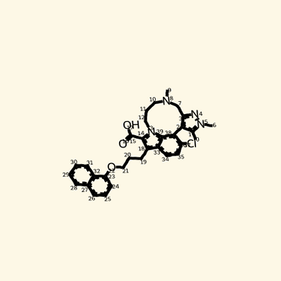 Cc1c2c(nn1C)CN(C)CCCn1c(C(=O)O)c(CCCOc3cccc4ccccc34)c3ccc(Cl)c-2c31